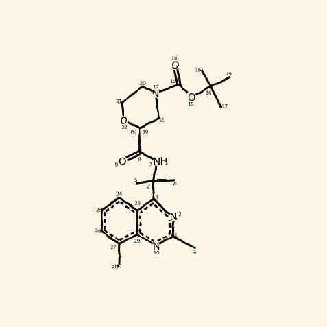 Cc1nc(C(C)(C)NC(=O)[C@@H]2CN(C(=O)OC(C)(C)C)CCO2)c2cccc(C)c2n1